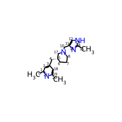 Cc1cc(C[C@H]2CCCN(Cc3c[nH]c(C)n3)C2)cc(C)n1